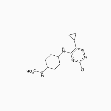 O=C(O)NC1CCC(Nc2nc(Cl)ncc2C2CC2)CC1